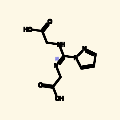 O=C(O)C/N=C(/NCC(=O)O)n1cccn1